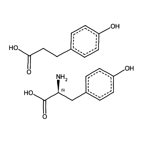 N[C@@H](Cc1ccc(O)cc1)C(=O)O.O=C(O)CCc1ccc(O)cc1